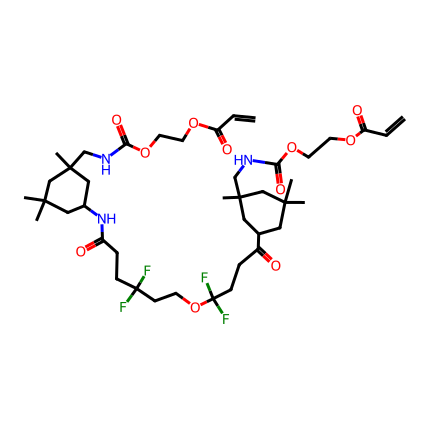 C=CC(=O)OCCOC(=O)NCC1(C)CC(NC(=O)CCC(F)(F)CCOC(F)(F)CCC(=O)C2CC(C)(C)CC(C)(CNC(=O)OCCOC(=O)C=C)C2)CC(C)(C)C1